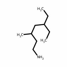 CCC(CC)CC(C)CCN